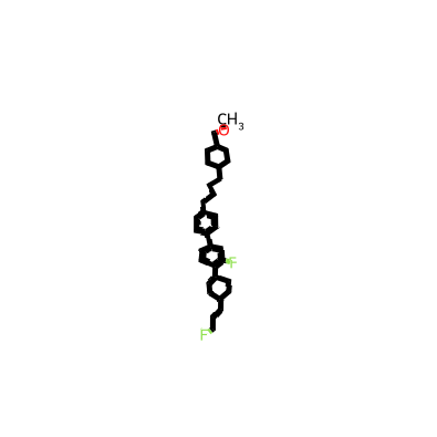 COCC1CCC(CCCCc2ccc(-c3ccc(C4CCC(CCCF)CC4)c(F)c3)cc2)CC1